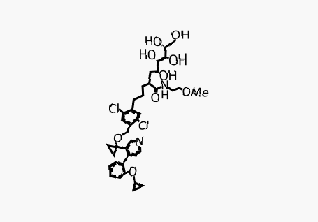 COCCNC(=O)C(CCCc1cc(Cl)c(COC2(c3cnccc3-c3ccccc3OC3CC3)CC2)cc1Cl)C[C@H](O)[C@@H](O)[C@H](O)[C@H](O)CO